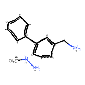 NCc1cccc(-c2ccccc2)c1.NNC=O